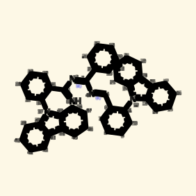 N=C(/N=C(\N=C\c1ccccc1-n1c2ccccc2c2ccccc21)c1ccccc1)c1ccccc1-n1c2ccccc2c2ccccc21